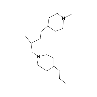 CCCC1CCN(CC(C)CCC2CCN(C)CC2)CC1